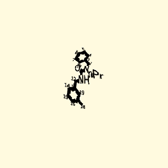 CCCN(Cc1ccccc1)C(=O)NCc1cccc(C)c1